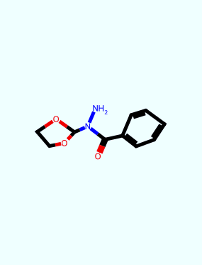 NN(C(=O)c1ccccc1)C1OCCO1